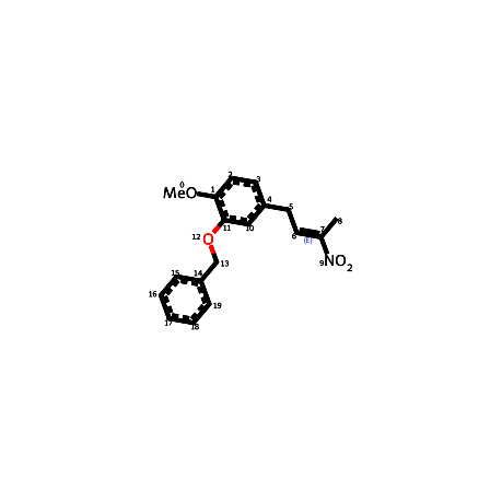 COc1ccc(C/C=C(\C)[N+](=O)[O-])cc1OCc1ccccc1